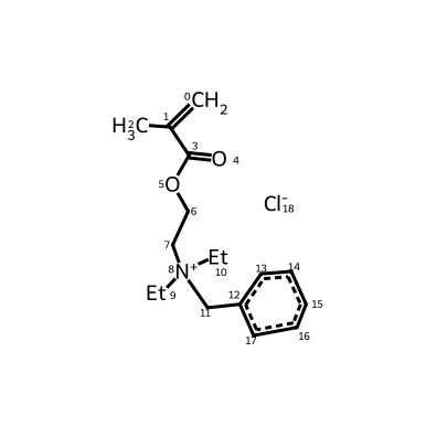 C=C(C)C(=O)OCC[N+](CC)(CC)Cc1ccccc1.[Cl-]